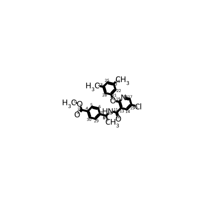 COC(=O)c1ccc([C@H](C)NC(=O)c2cc(Cl)cnc2Oc2cc(C)cc(C)c2)cc1